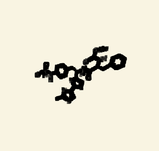 COC(=O)N[C@@H](Cc1ccccc1)C(=O)N[C@@H](Cc1ccc(N[SH](=O)=O)cc1)c1csc(-c2csc(C)n2)n1